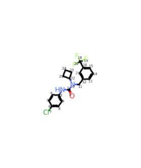 O=C(Nc1ccc(Cl)cc1)N(Cc1cccc(C(F)(F)F)c1)C1CCC1